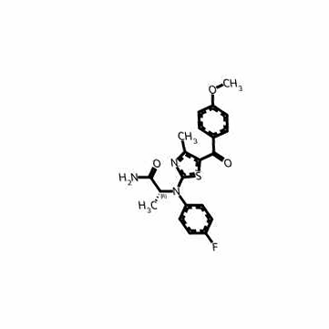 COc1ccc(C(=O)c2sc(N(c3ccc(F)cc3)[C@H](C)C(N)=O)nc2C)cc1